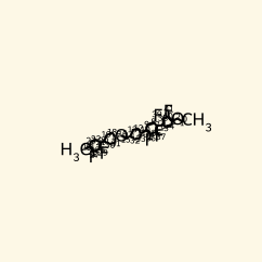 CCOc1ccc(-c2ccc(C3CCC(COC4CCC(c5ccc(C)c(F)c5F)CC4)CC3)c(F)c2F)c(F)c1F